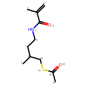 C=C(C)C(=O)NCCC(C)CSC(C)=O